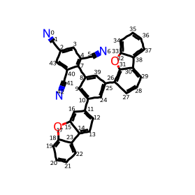 N#Cc1cc(C#N)c(-c2cc(-c3ccc4c(c3)oc3ccccc34)cc(-c3cccc4c3oc3ccccc34)c2)c(C#N)c1